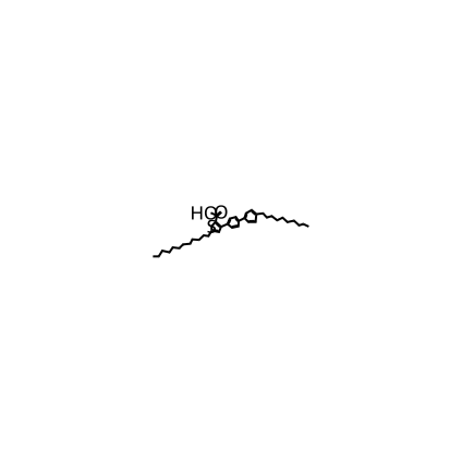 CCCCCCCCCCCCc1cc(-c2ccc(-c3ccc(CCCCCCCCCC)cc3)cc2)c(C(=O)O)s1